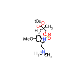 COC1=CC=C2C(C1)C(CCN(C)C)=CN2S(=O)(=O)OCC(C)(C)C(=O)OC(C)(C)C